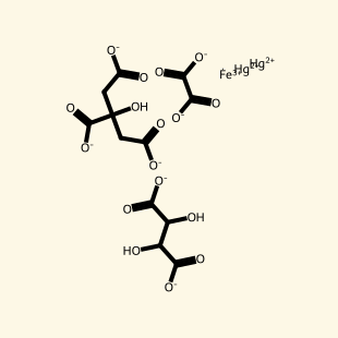 O=C([O-])C(=O)[O-].O=C([O-])C(O)C(O)C(=O)[O-].O=C([O-])CC(O)(CC(=O)[O-])C(=O)[O-].[Fe+3].[Hg+2].[Hg+2]